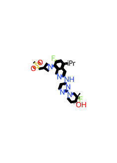 CC(C)c1cc(F)c(N2CC(CS(C)(=O)=O)C2)c2cnc(Nc3ccnc(N4CC[C@@H](O)[C@@](C)(F)C4)n3)cc12